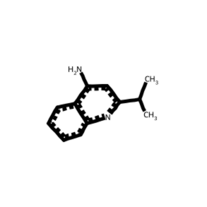 CC(C)c1cc(N)c2ccccc2n1